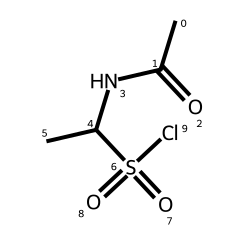 CC(=O)NC(C)S(=O)(=O)Cl